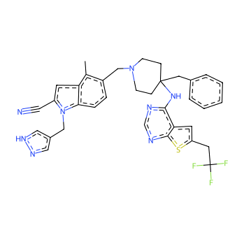 Cc1c(CN2CCC(Cc3ccccc3)(Nc3ncnc4sc(CC(F)(F)F)cc34)CC2)ccc2c1cc(C#N)n2Cc1cn[nH]c1